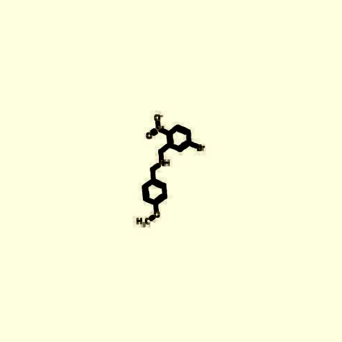 COc1ccc(CNCc2cc(Br)ccc2[N+](=O)[O-])cc1